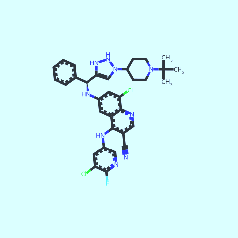 CC(C)(C)N1CCC(N2C=C([C@@H](Nc3cc(Cl)c4ncc(C#N)c(Nc5cnc(F)c(Cl)c5)c4c3)c3ccccc3)NN2)CC1